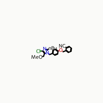 CCCCc1nc(Cl)c(COC)n1Cc1ccc(OCc2ccccc2C#N)cc1